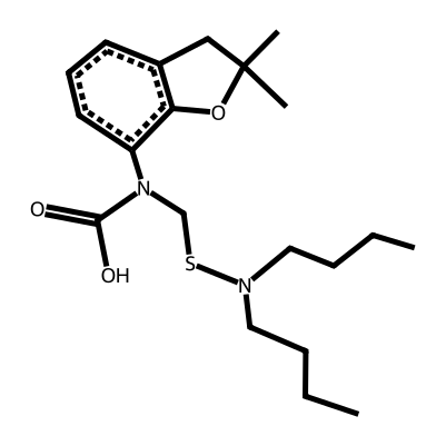 CCCCN(CCCC)SCN(C(=O)O)c1cccc2c1OC(C)(C)C2